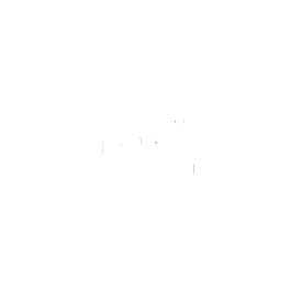 C=C[SiH](N)O[SiH3]